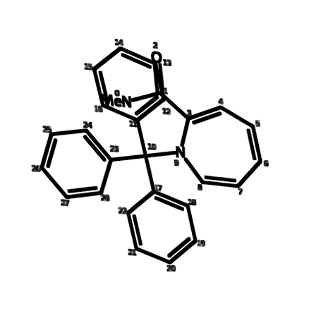 CNC(=O)C1=CC=CC=CN1C(c1ccccc1)(c1ccccc1)c1ccccc1